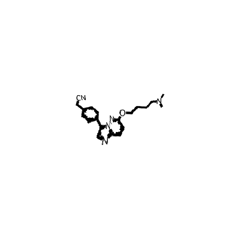 CN(C)CCCCOc1ccc2ncc(-c3ccc(CC#N)cc3)n2n1